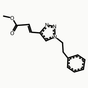 COC(=O)/C=C/c1cn(CCc2ccccc2)nn1